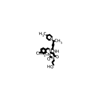 CC1CCN(C(C)C#CC2Nc3c(n(C)c(=O)n(CCCO)c3=O)N2Cc2ccc(Cl)cc2)CC1